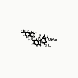 COC[C@]12C[C@H]1[C@@](CF)(c1cc(Nc3ncnc4cc(Cl)cnc34)ccc1F)N=C(N)S2